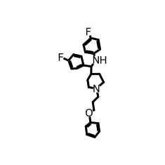 Fc1ccc(NC(c2ccc(F)cc2)C2CCN(CCCOc3ccccc3)CC2)cc1